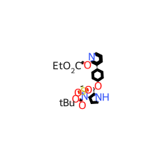 CCOC(=O)COc1ncccc1[C@H]1CC[C@@H](OC[C@@H]2NCC[C@@H]2N(C(=O)OC(C)(C)C)S(C)(=O)=O)CC1